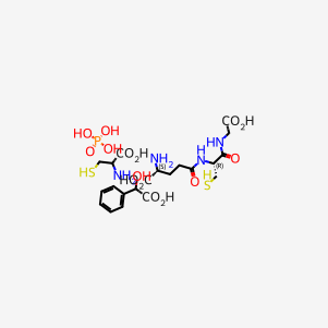 NC(CS)C(=O)O.N[C@@H](CCC(=O)N[C@@H](CS)C(=O)NCC(=O)O)C(=O)O.O=C(O)C(O)c1ccccc1.O=P(O)(O)O